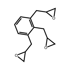 c1cc(CC2CO2)c(CC2CO2)c(CC2CO2)c1